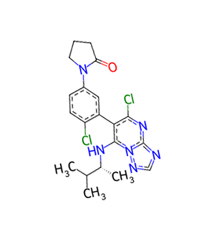 CC(C)[C@@H](C)Nc1c(-c2cc(N3CCCC3=O)ccc2Cl)c(Cl)nc2ncnn12